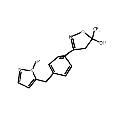 CCCn1nccc1Cc1ccc(C2=NOC(O)(C(F)(F)F)C2)cc1